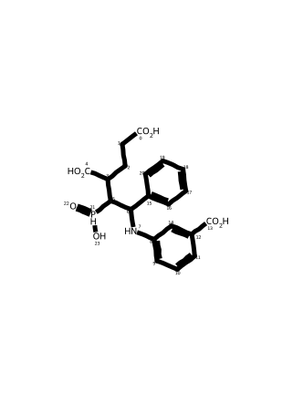 O=C(O)CCC(C(=O)O)C(C(Nc1cccc(C(=O)O)c1)c1ccccc1)[PH](=O)O